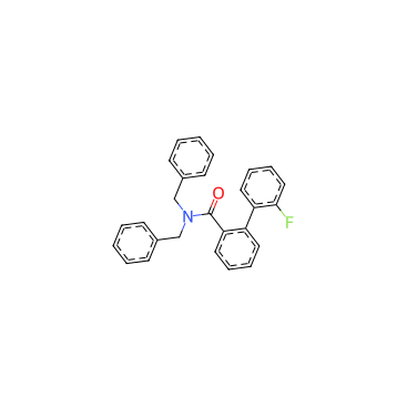 O=C(c1ccccc1-c1ccccc1F)N(Cc1ccccc1)Cc1ccccc1